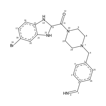 N=Cc1ccc(CN2CCN(C(=O)C3Nc4ccc(Br)cc4N3)CC2)cc1